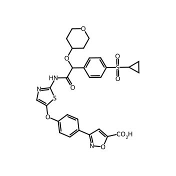 O=C(O)c1cc(-c2ccc(Oc3cnc(NC(=O)C(OC4CCOCC4)c4ccc(S(=O)(=O)C5CC5)cc4)s3)cc2)no1